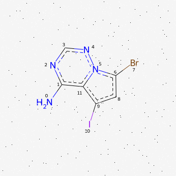 Nc1ncnn2c(Br)cc(I)c12